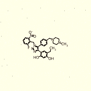 CCc1cc(-c2nnn(Cc3c(F)cccc3[N+](=O)[O-])c2-c2ccc(CN3CCN(C)CC3)cc2)c(O)cc1O